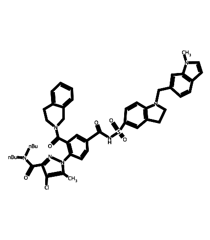 CCCCN(CCCC)C(=O)c1nn(-c2ccc(C(=O)NS(=O)(=O)c3ccc4c(c3)CCN4Cc3ccc4ccn(C)c4c3)cc2C(=O)N2CCc3ccccc3C2)c(C)c1Cl